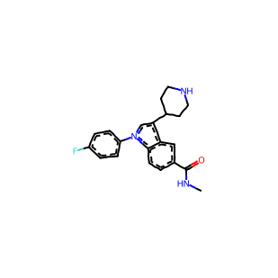 CNC(=O)c1ccc2c(c1)c(C1CCNCC1)cn2-c1ccc(F)cc1